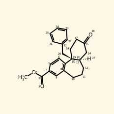 COC(=O)c1ccc2c(c1)CCC[C@@H]1CC(=O)CC[C@@]21Cc1ccccc1